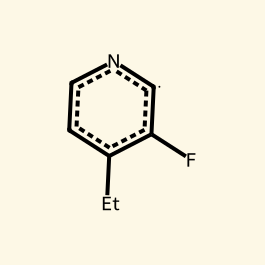 CCc1ccn[c]c1F